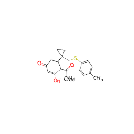 COC(=O)C1C(O)=CC(=O)CC1C1(CSc2ccc(C)cc2)CC1